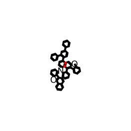 c1ccc(-c2ccc(-c3ccc(N(c4ccccc4-c4cccc5oc6ccccc6c45)c4cccc5oc6c7ccccc7ccc6c45)cc3)c(-c3ccccc3)c2)cc1